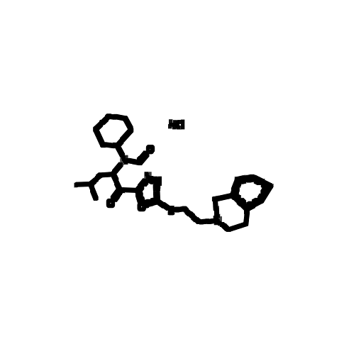 CC(C)CC(C(=O)c1nnc(SCCN2CCc3ccccc3C2)o1)N(C=O)C1CCCCC1.Cl